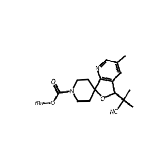 Cc1cnc2c(c1)C(C(C)(C)C#N)OC21CCN(C(=O)OC(C)(C)C)CC1